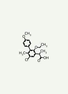 CCOc1c(C(C)C(=O)O)cc(Cl)c(C)c1-c1ccc(OC)cc1